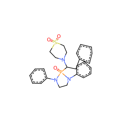 O=P1(C(Cc2ccccc2)N2CCS(=O)(=O)CC2)N(c2ccccc2)CCN1c1ccccc1